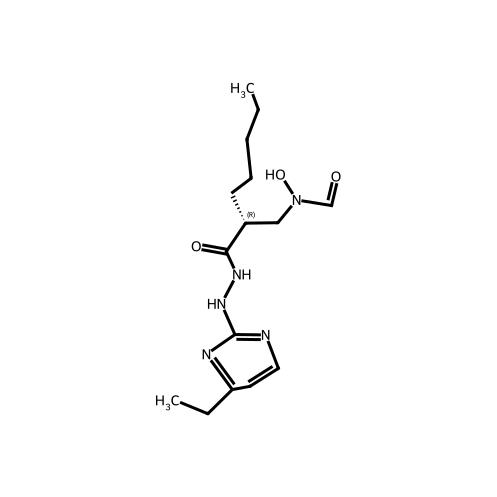 CCCCC[C@H](CN(O)C=O)C(=O)NNc1nccc(CC)n1